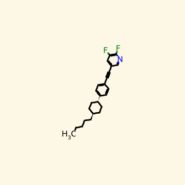 CCCCC[C@H]1CC[C@H](c2ccc(C#Cc3cnc(F)c(F)c3)cc2)CC1